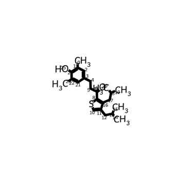 Cc1cc(CCC(=O)c2scc(CC(C)C)c2CC(C)C)cc(C)c1O